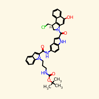 CC(C)(C)OC(=O)NCCCn1c(C(=O)Nc2ccc3[nH]c(C(=O)N4C[C@@H](CCl)c5c4cc(O)c4ccccc54)cc3c2)cc2ccccc21